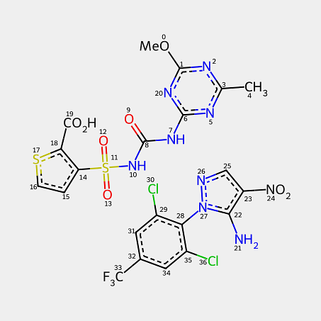 COc1nc(C)nc(NC(=O)NS(=O)(=O)c2ccsc2C(=O)O)n1.Nc1c([N+](=O)[O-])cnn1-c1c(Cl)cc(C(F)(F)F)cc1Cl